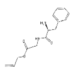 C=CCOC(=O)CNC(=O)[C@@H](N)Cc1ccccc1